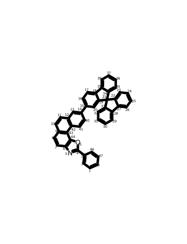 c1ccc(-c2nc3ccc4ccc5cc(-c6ccc7c(c6)C6(c8ccccc8-c8ccccc86)c6ccccc6-7)ccc5c4c3o2)cc1